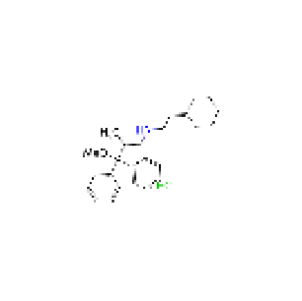 COC(c1ccccc1)(c1ccccc1)C(C)CNCC=C1CCCCC1.Cl